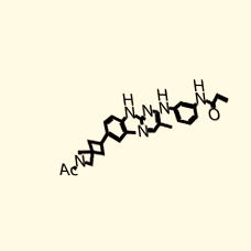 C=CC(=O)Nc1cccc(Nc2nc(Nc3ccc(C4CC5(C4)CN(C(C)=O)C5)cc3C)ncc2C)c1